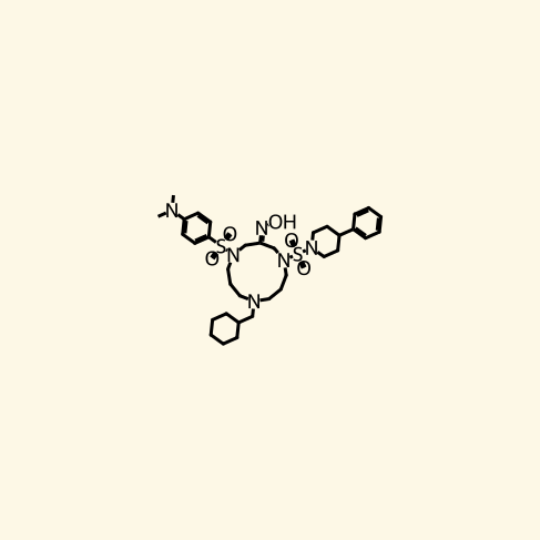 CN(C)c1ccc(S(=O)(=O)N2CCCN(CC3CCCCC3)CCCN(S(=O)(=O)N3CCC(c4ccccc4)CC3)C/C(=N\O)C2)cc1